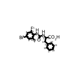 O=C(Nc1c(F)cc(Br)cc1F)NC(Cc1ccccc1)C(=O)O